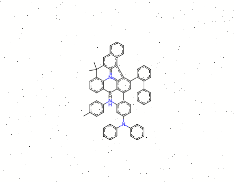 Cc1ccc(Nc2cc(N(c3ccccc3)c3ccccc3)ccc2-c2cc(-c3ccccc3-c3ccccc3)c3c4c5ccccc5cc5c4n4c3c2Bc2cccc(c2-4)C5(C)C)cc1